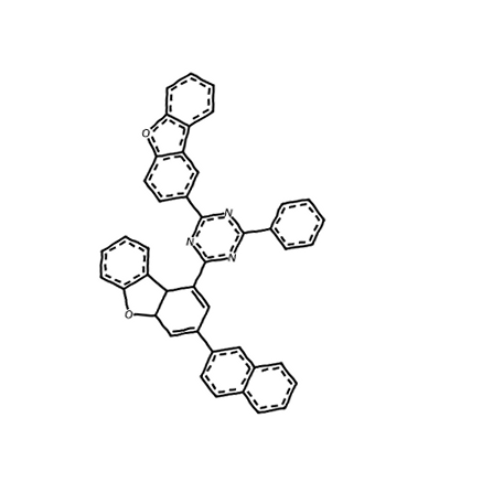 C1=C(c2ccc3ccccc3c2)C=C(c2nc(-c3ccccc3)nc(-c3ccc4oc5ccccc5c4c3)n2)C2c3ccccc3OC12